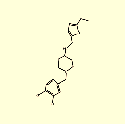 CCc1ccc(CNC2CCN(Cc3ccc(Cl)c(Cl)c3)CC2)o1